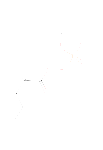 C=C(CCC)C(=O)OOP(=O)(OC)OC